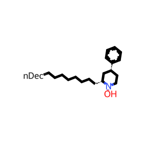 CCCCCCCCCCCCCCCCCC[C@@H]1C[C@H](c2ccccc2)CCN1O